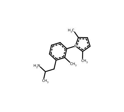 Cc1c(CC(C)N)cccc1-n1c(C)ccc1C